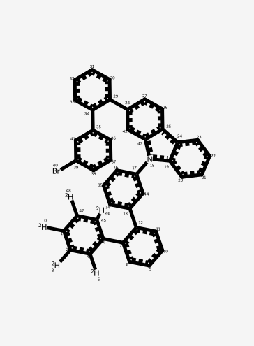 [2H]c1c([2H])c([2H])c(-c2ccccc2-c2cccc(-n3c4ccccc4c4ccc(-c5ccccc5-c5cccc(Br)c5)cc43)c2)c([2H])c1[2H]